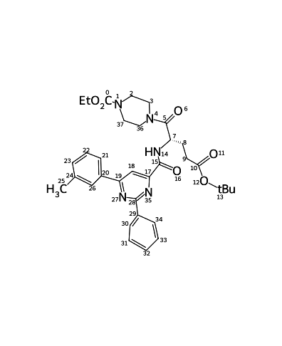 CCOC(=O)N1CCN(C(=O)[C@H](CCC(=O)OC(C)(C)C)NC(=O)c2cc(-c3cccc(C)c3)nc(-c3ccccc3)n2)CC1